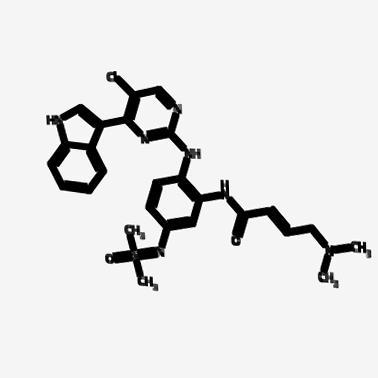 CN(C)C/C=C/C(=O)Nc1cc(N=S(C)(C)=O)ccc1Nc1ncc(Cl)c(-c2c[nH]c3ccccc23)n1